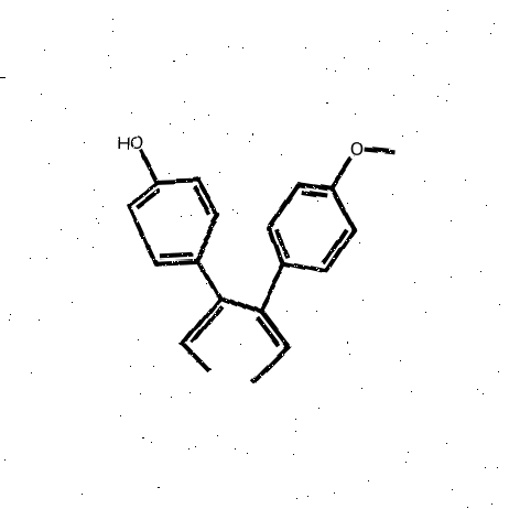 C/C=C(\C(=C/C)c1ccc(OC)cc1)c1ccc(O)cc1